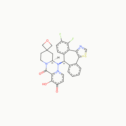 O=C1c2c(O)c(=O)ccn2N([C@@H]2c3ccccc3-c3scnc3-c3c2ccc(F)c3F)[C@@H]2CC3(CCN12)COC3